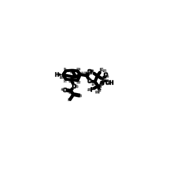 C=C(C)C(=O)OC12CC3C[C@H](C1)CC(C(=O)OC(C(F)(F)F)C(F)(F)S(=O)(=O)O)(C3)C2